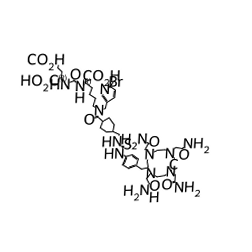 NC(=O)CN1CCN(CC(N)=O)CCN(CC(N)O)C(Cc2ccc(NC(=S)NCC3CCC(C(=O)N(CCCC[C@@H](NC(=O)N[C@H](CCC(=O)O)C(=O)O)C(=O)O)Cc4ccc(Br)nc4)CC3)cc2)CN(CC(N)=O)CC1